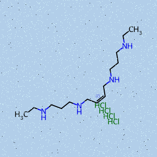 CCNCCCNC/C=C\CNCCCNCC.Cl.Cl.Cl.Cl